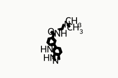 CN(C)CCCNC(=O)c1ccc2[nH]c3c(ccc4cn[nH]c43)c2c1